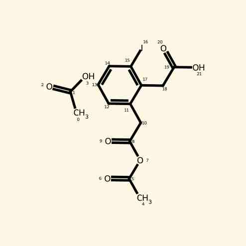 CC(=O)O.CC(=O)OC(=O)Cc1cccc(I)c1CC(=O)O